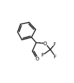 O=CC(OC(F)(F)F)c1ccccc1